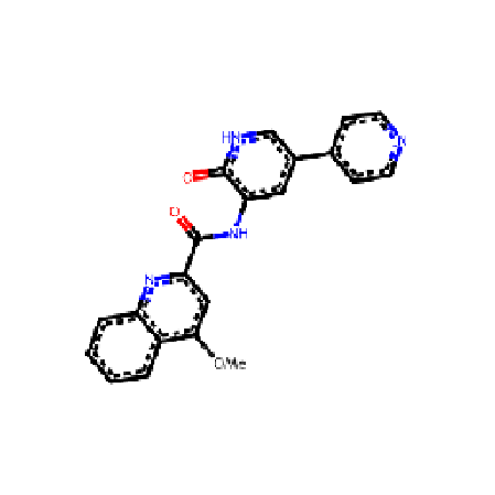 COc1cc(C(=O)Nc2cc(-c3ccncc3)c[nH]c2=O)nc2ccccc12